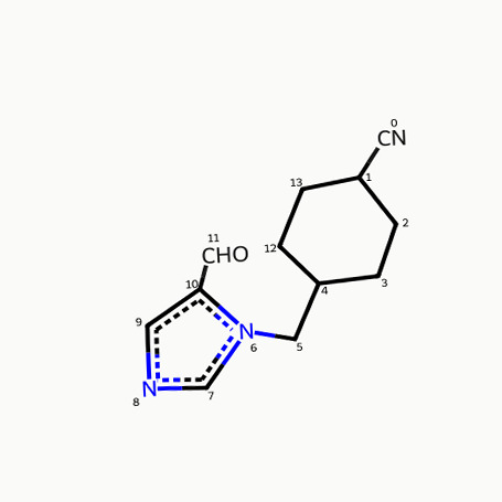 N#CC1CCC(Cn2cncc2C=O)CC1